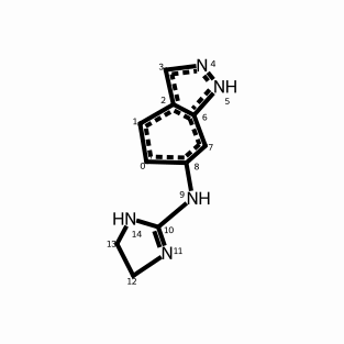 c1cc2cn[nH]c2cc1NC1=NCCN1